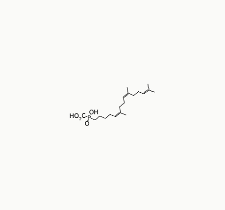 CC(C)=CCCC(C)=CCCC(C)=CCCCCP(=O)(O)C(=O)O